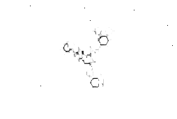 COc1ccc(CNc2nc(COc3cccnc3)cc3nc(-c4ccco4)nn23)cc1OC